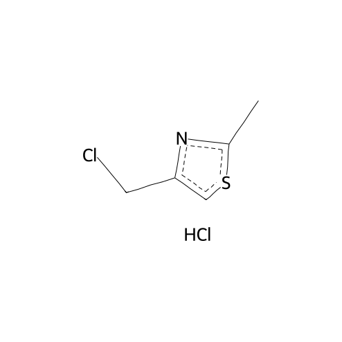 Cc1nc(CCl)cs1.Cl